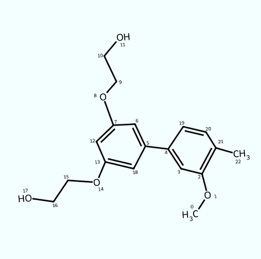 COc1cc(-c2cc(OCCO)cc(OCCO)c2)ccc1C